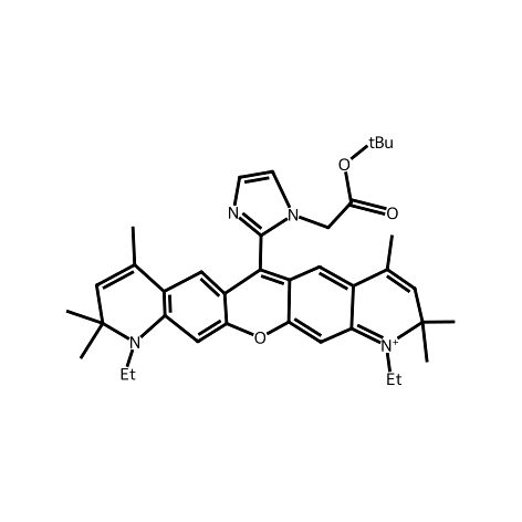 CCN1c2cc3c(cc2C(C)=CC1(C)C)C(c1nccn1CC(=O)OC(C)(C)C)=c1cc2c(cc1O3)=[N+](CC)C(C)(C)C=C2C